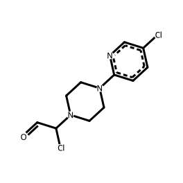 O=CC(Cl)N1CCN(c2ccc(Cl)cn2)CC1